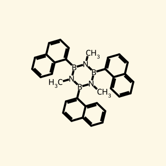 CN1B(c2cccc3ccccc23)N(C)B(c2cccc3ccccc23)N(C)B1c1cccc2ccccc12